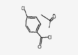 CC(C)=O.O=C(Cl)c1ccc(Cl)cc1